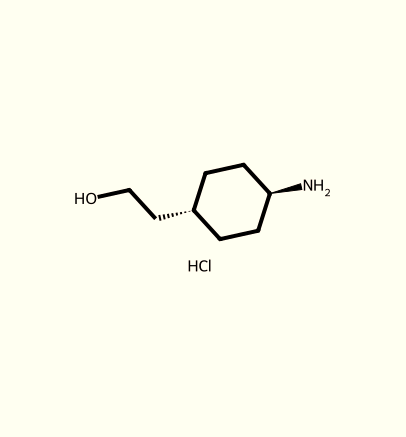 Cl.N[C@H]1CC[C@H](CCO)CC1